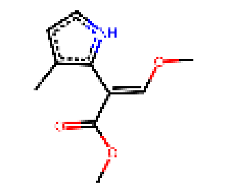 CO/C=C(/C(=O)OC)c1[nH]ccc1C